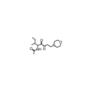 CCC(C)C(NC(C)=O)C(=O)NCCN1CCOCC1